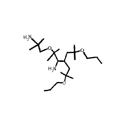 CCCOC(C)(C)CC(CC(C)(C)OCCC)C(N)C(C)(C)OCC(C)(C)N